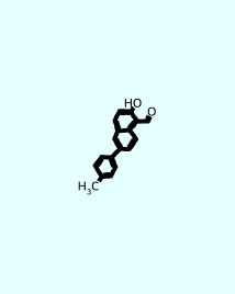 Cc1ccc(-c2ccc3c(C=O)c(O)ccc3c2)cc1